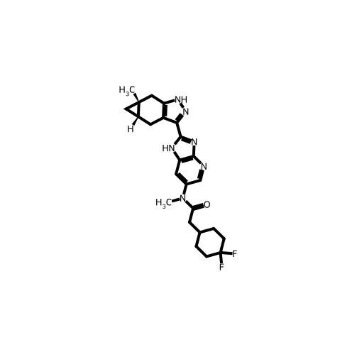 CN(C(=O)CC1CCC(F)(F)CC1)c1cnc2nc(-c3n[nH]c4c3C[C@@H]3C[C@]3(C)C4)[nH]c2c1